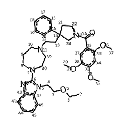 CCOCCn1c(N2CCCN(CCC3(c4ccccc4)CCN(C(=O)c4cc(OC)c(OC)cc4OC)C3)CC2)nc2ccccc21